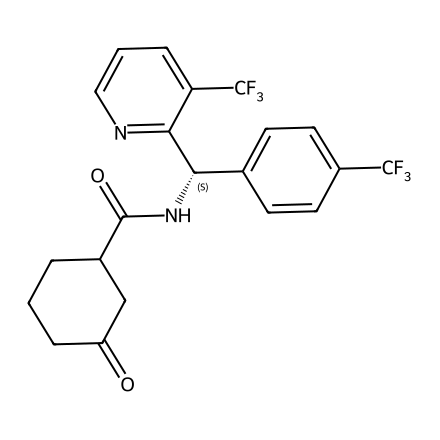 O=C1CCCC(C(=O)N[C@@H](c2ccc(C(F)(F)F)cc2)c2ncccc2C(F)(F)F)C1